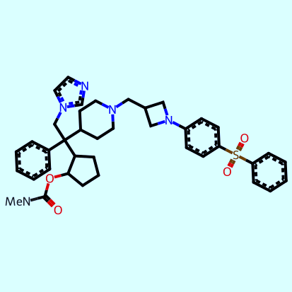 CNC(=O)OC1CCCC1C(Cn1ccnc1)(c1ccccc1)C1CCN(CC2CN(c3ccc(S(=O)(=O)c4ccccc4)cc3)C2)CC1